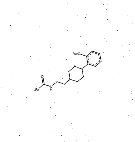 COc1ccccc1N1CCN(CCNC(=O)C(C)(C)C)CC1